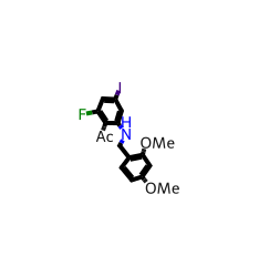 COc1ccc(CNc2cc(I)cc(F)c2C(C)=O)c(OC)c1